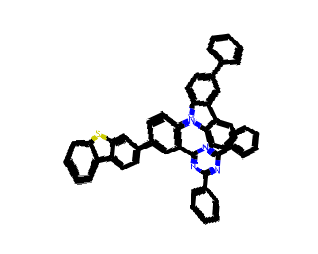 c1ccc(-c2ccc3c(c2)c2ccccc2n3-c2ccc(-c3ccc4c(c3)sc3ccccc34)cc2-c2nc(-c3ccccc3)nc(-c3ccccc3)n2)cc1